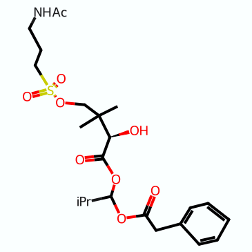 CC(=O)NCCCS(=O)(=O)OCC(C)(C)[C@@H](O)C(=O)OC(OC(=O)Cc1ccccc1)C(C)C